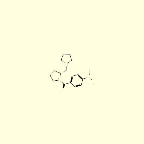 CCN(CC)c1ccc(C(=O)N2CCC[C@H]2CN2CCCC2)cc1